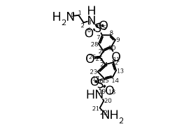 NCCNS(=O)(=O)c1ccc2oc3ccc(S(=O)(=O)NCCN)cc3c(=O)c2c1